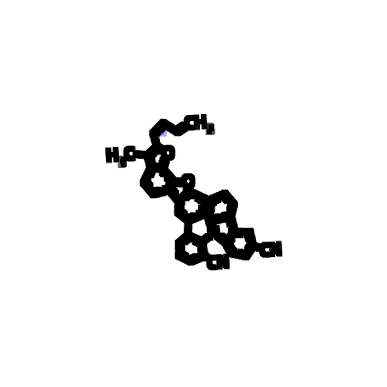 C=C/C=C\c1oc2c(ccc3c4cc(-c5cccc(C#N)c5-n5c6ccccc6c6cc(C#N)ccc65)ccc4oc32)c1C